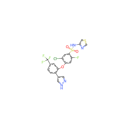 O=S(=O)(Nc1cscn1)c1cc(Cl)c(Oc2cc(C(F)(F)F)ccc2-c2cn[nH]c2)cc1F